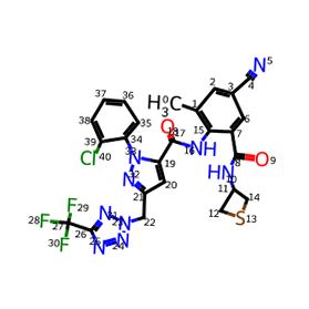 Cc1cc(C#N)cc(C(=O)NC2CSC2)c1NC(=O)c1cc(Cn2nnc(C(F)(F)F)n2)nn1-c1ccccc1Cl